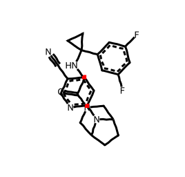 N#Cc1ccc(N2C3CCC2CN(C(=O)CNC2(c4cc(F)cc(F)c4)CC2)C3)nc1